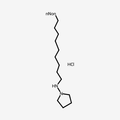 CCCCCCCCCCCCCCCCCCNN1CCCC1.Cl